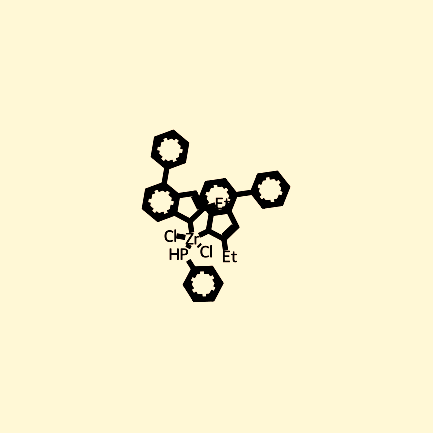 CCC1=Cc2c(-c3ccccc3)cccc2[CH]1[Zr]([Cl])([Cl])([PH]c1ccccc1)[CH]1C(CC)=Cc2c(-c3ccccc3)cccc21